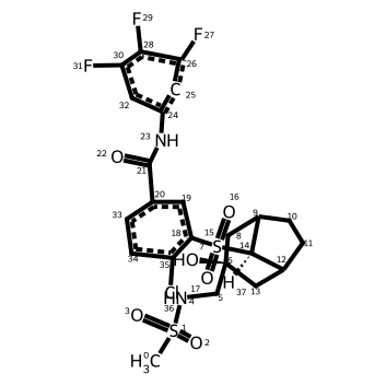 CS(=O)(=O)NC[C@]1(O)CC2CCC(C1)[C@H]2S(=O)(=O)c1cc(C(=O)Nc2cc(F)c(F)c(F)c2)ccc1Cl